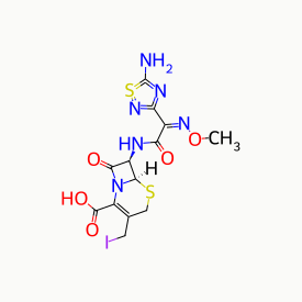 CO/N=C(\C(=O)N[C@@H]1C(=O)N2C(C(=O)O)=C(CI)CS[C@H]12)c1nsc(N)n1